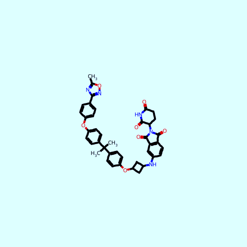 Cc1nc(-c2ccc(Oc3ccc(C(C)(C)c4ccc(OC5CC(Nc6ccc7c(c6)C(=O)N(C6CCC(=O)NC6=O)C7=O)C5)cc4)cc3)cc2)no1